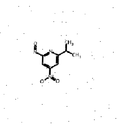 CC(C)c1cc([N+](=O)[O-])cc(N=O)n1